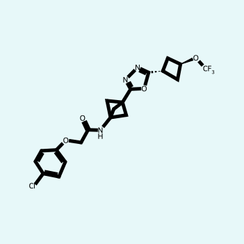 O=C(COc1ccc(Cl)cc1)NC12CC(c3nnc([C@H]4C[C@H](OC(F)(F)F)C4)o3)(C1)C2